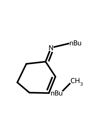 CCCCC.CCCCN=C1C=CCCC1